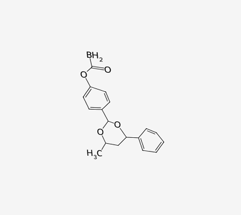 BC(=O)Oc1ccc(C2OC(C)CC(c3ccccc3)O2)cc1